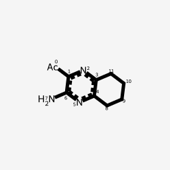 CC(=O)c1nc2c(nc1N)CCCC2